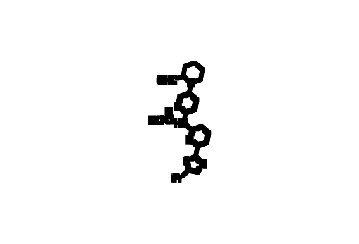 CC(C)c1cnc(-c2cccc(Nc3ccc(N4CCCCC4C=O)cn3)n2)s1.Cl.Cl